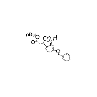 CCCCOC(=O)CC(C(=O)O)c1ccc(OCc2ccccc2)cc1